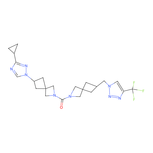 O=C(N1CC2(CC(Cn3cc(C(F)(F)F)nn3)C2)C1)N1CC2(CC(n3cnc(C4CC4)n3)C2)C1